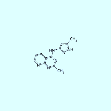 Cc1nc(Nc2cc(C)[nH]n2)c2cccnc2n1